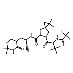 CC1(C)CCC(CC(C#N)NC(=O)C2CC3(CN2C(=O)C(NC(=O)C(F)(F)F)C(C)(C)C)CC3(C)C)C(=O)N1